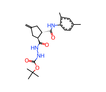 C=C1C[C@H](C(=O)NNC(=O)OC(C)(C)C)[C@@H](C(=O)Nc2ccc(C)cc2C)C1